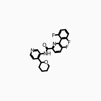 O=C(Nc1cnccc1C1CCCCO1)c1ccc(F)c(-c2c(F)cccc2F)n1